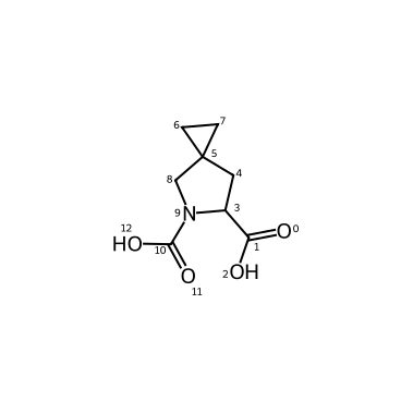 O=C(O)C1CC2(CC2)CN1C(=O)O